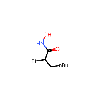 CCCCCC(CC)C(=O)NO